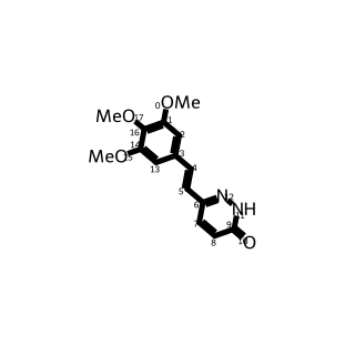 COc1cc(/C=C/c2ccc(=O)[nH]n2)cc(OC)c1OC